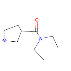 CCN(CC)C(=O)C1CC[N]C1